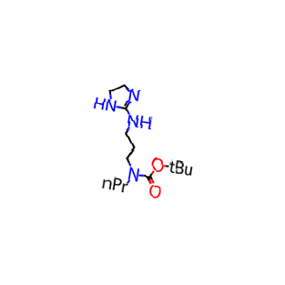 CCCN(CCCNC1=NCCN1)C(=O)OC(C)(C)C